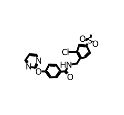 CS(=O)(=O)c1ccc(CNC(=O)c2ccc(Oc3ncccn3)cc2)c(Cl)c1